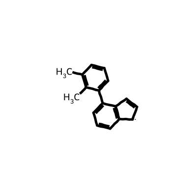 Cc1cccc(-c2cccc3c2C=C[CH]3)c1C